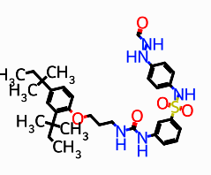 CCC(C)(C)c1ccc(OCCCNC(=O)Nc2cccc(S(=O)(=O)Nc3ccc(NNC=O)cc3)c2)c(C(C)(C)CC)c1